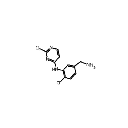 NCc1ccc(Cl)c(Nc2ccnc(Cl)n2)c1